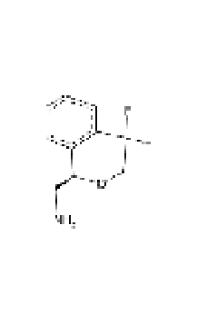 NC[C@@H]1OCC(F)(F)c2ccccc21